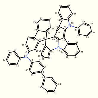 c1ccc(-c2ccc(N(c3ccccc3)c3ccc4c(c3)C3(c5ccccc5-4)c4ccccc4-n4c5ccccc5c5c4c3cc3c4ccccc4n(-c4ccccc4)c35)cc2)cc1